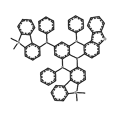 C[Si]1(C)c2ccccc2-c2c(N(c3ccccc3)c3cc4c5c(c3)N(c3ccccc3)c3c(ccc6oc7ccccc7c36)B5c3ccc5c(c3N4c3ccccc3)-c3ccccc3[Si]5(C)C)cccc21